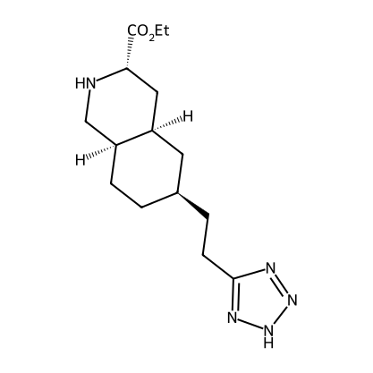 CCOC(=O)[C@@H]1C[C@H]2C[C@@H](CCc3nn[nH]n3)CC[C@H]2CN1